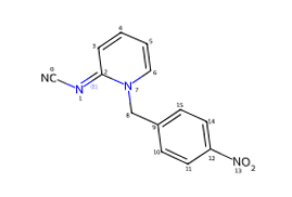 N#C/N=c1\ccccn1Cc1ccc([N+](=O)[O-])cc1